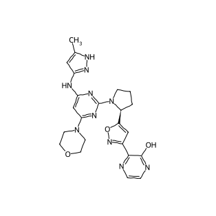 Cc1cc(Nc2cc(N3CCOCC3)nc(N3CCC[C@H]3c3cc(-c4nccnc4O)no3)n2)n[nH]1